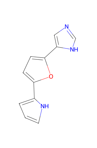 c1c[nH]c(-c2ccc(-c3cnc[nH]3)o2)c1